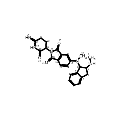 CNC1Cc2ccccc2C1N(C)c1ccc2c(c1)C(=O)N(C1CCC(=N)NC1=O)C2=O